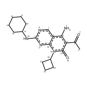 CC(=O)c1c(N)c2cnc(NC3CCCCC3)nc2n(C2CCC2)c1=O